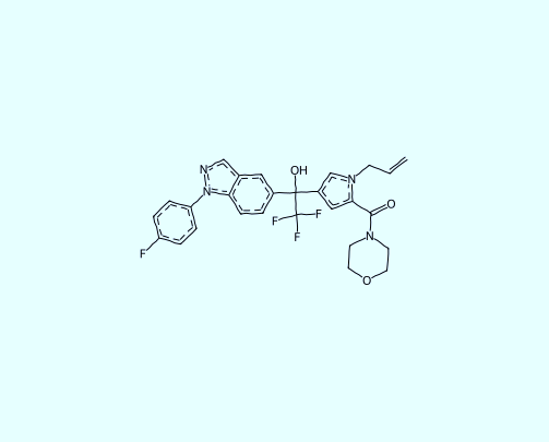 C=CCn1cc(C(O)(c2ccc3c(cnn3-c3ccc(F)cc3)c2)C(F)(F)F)cc1C(=O)N1CCOCC1